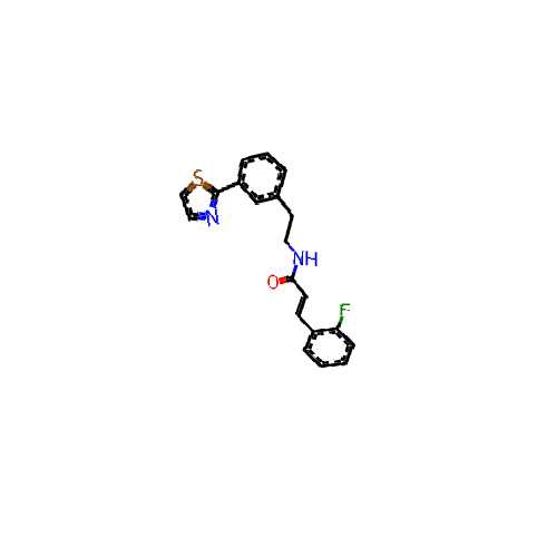 O=C(C=Cc1ccccc1F)NCCc1cccc(-c2nccs2)c1